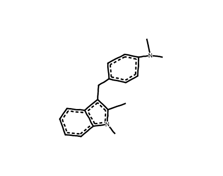 Cc1c(Cc2ccc(N(C)C)cc2)c2ccccc2n1C